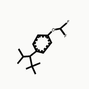 CC(C)C(c1ccc(OC(F)F)cc1)C(C)(C)C